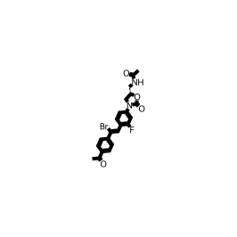 CC(=O)NC[C@H]1CN(c2ccc(/C=C(\Br)c3ccc(C(C)=O)cc3)c(F)c2)C(=O)O1